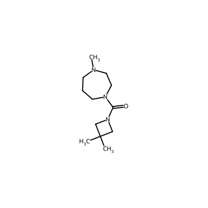 CN1CCCN(C(=O)N2CC(C)(C)C2)CC1